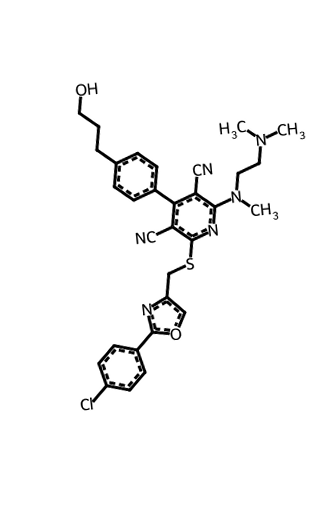 CN(C)CCN(C)c1nc(SCc2coc(-c3ccc(Cl)cc3)n2)c(C#N)c(-c2ccc(CCCO)cc2)c1C#N